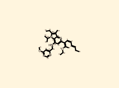 CC/C=C/C=C\C(=C(/C)OCC)c1cc(NCc2cc(OC)ncn2)c2c(n1)c(C)c(CC)n2C(C)C